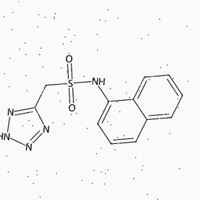 O=S(=O)(Cc1nn[nH]n1)Nc1cccc2ccccc12